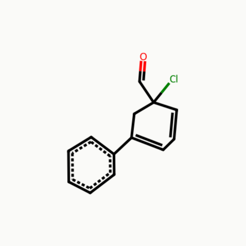 O=CC1(Cl)C=CC=C(c2ccccc2)C1